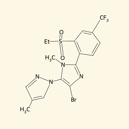 CCS(=O)(=O)c1cc(C(F)(F)F)ccc1-c1nc(Br)c(-n2cc(C)cn2)n1C